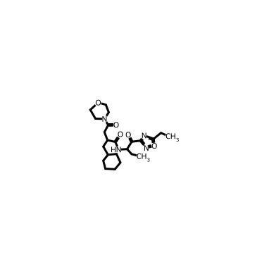 CCc1nc(C(=O)C(CC)NC(=O)C(CC(=O)N2CCOCC2)CC2CCCCC2)no1